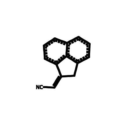 N#CC=C1Cc2cccc3cccc1c23